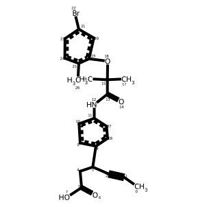 CC#CC(CC(=O)O)c1ccc(NC(=O)C(C)(C)Oc2cc(Br)ccc2C)cc1